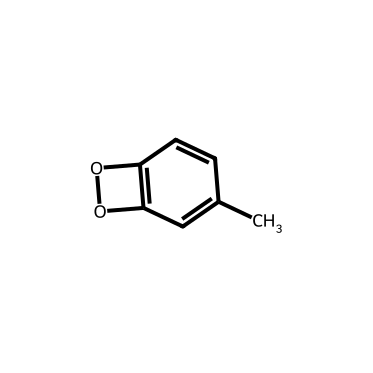 Cc1ccc2ooc2c1